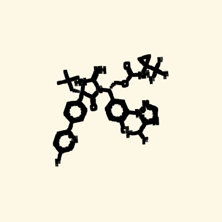 CC(C)(C)C[C@]1(c2ccc(-c3ccc(F)cn3)cc2)NC(=N)N([C@H](COC(=O)NC2(C(F)(F)F)CC2)c2ccc(Cl)c(-n3ncnc3C(F)F)c2)C1=O